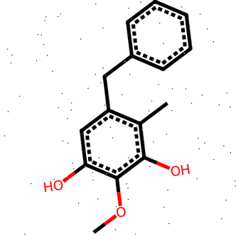 COc1c(O)cc(Cc2ccccc2)c(C)c1O